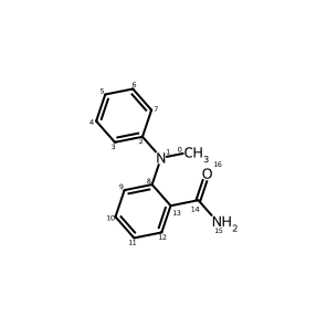 CN(c1ccccc1)c1ccccc1C(N)=O